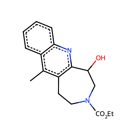 CCOC(=O)N1CCc2c(nc3ccccc3c2C)C(O)C1